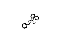 O=C(OCc1ccccc1)N1CCCC12CCCC2